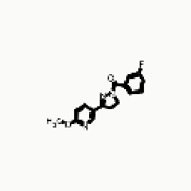 COc1ccc(C2=NN(C(=O)c3cccc(F)c3)CC2)cn1